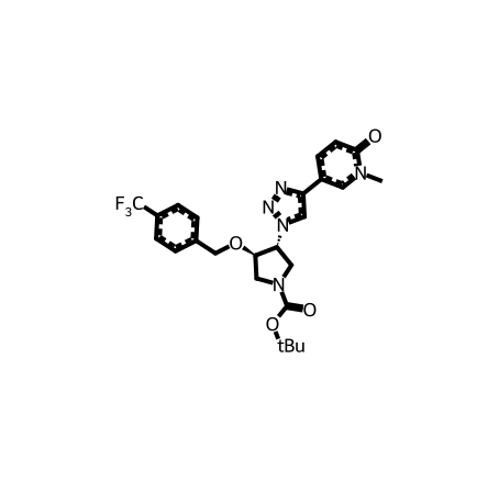 Cn1cc(-c2cn([C@@H]3CN(C(=O)OC(C)(C)C)C[C@H]3OCc3ccc(C(F)(F)F)cc3)nn2)ccc1=O